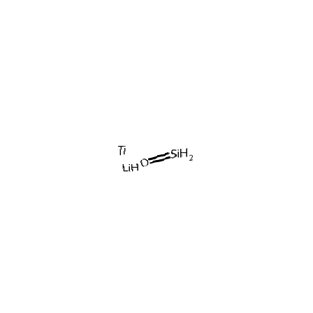 O=[SiH2].[LiH].[Ti]